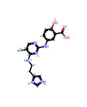 O=C(O)c1cc(Nc2ncc(Br)c(NCCc3c[nH]cn3)n2)ccc1O